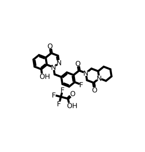 O=C(O)C(F)(F)F.O=C(c1cc(Cn2ncc(=O)c3cccc(O)c32)ccc1F)N1CC(=O)N2CCCCC2C1